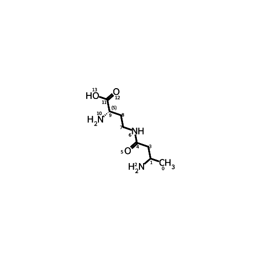 CC(N)CC(=O)NCC[C@H](N)C(=O)O